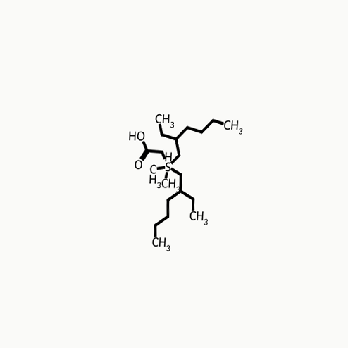 CCCCC(CC)C[SH](C)(C)(CC(=O)O)CC(CC)CCCC